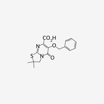 CC1(C)Cn2c(nc(C(=O)O)c(OCc3ccccc3)c2=O)S1